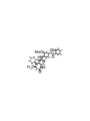 COc1cc(C(O)C(=O)c2ccccc2)ccc1NC1=NC2C(C=N1)NC(=O)C=C(C)N2C1CCCCC1